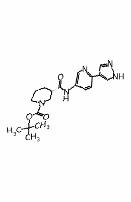 CC(C)(C)OC(=O)N1CCC[C@H](C(=O)Nc2ccc(-c3cn[nH]c3)nc2)C1